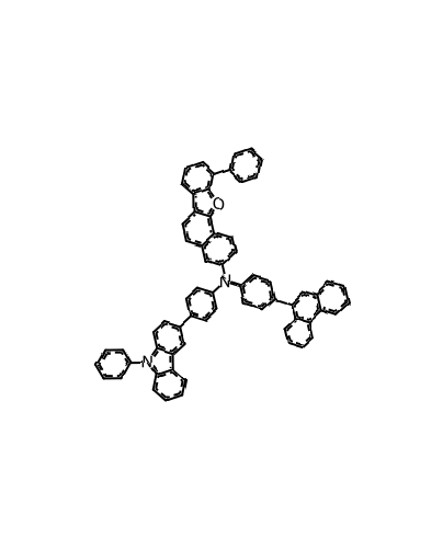 c1ccc(-c2cccc3c2oc2c4ccc(N(c5ccc(-c6ccc7c(c6)c6ccccc6n7-c6ccccc6)cc5)c5ccc(-c6cc7ccccc7c7ccccc67)cc5)cc4ccc32)cc1